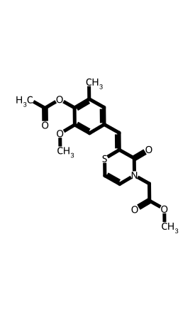 COC(=O)CN1C=CS/C(=C\c2cc(C)c(OC(C)=O)c(OC)c2)C1=O